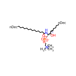 CCCCCCCCCCCCCC/C=C/[C@@H](O)[C@H](COP(=O)([O-])OCC[N+](C)(C)C)NC(=O)CCCCCCCCCCCCCCCCCCCCCCC